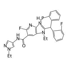 CCn1cc(NC(=O)c2cc3c(nc2F)nc(C(c2ccccc2F)c2ccccc2P)n3CC)cn1